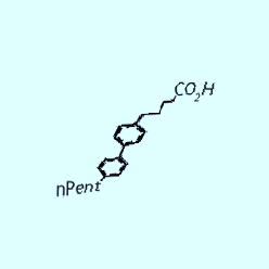 CCCCCc1ccc(-c2ccc(CCCCC(=O)O)cc2)cc1